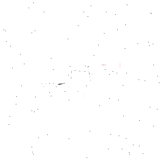 CN[C@@H]1CC[C@@H](CO)C1.Cl